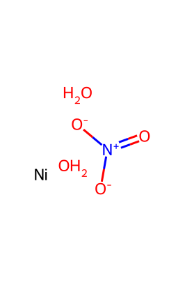 O.O.O=[N+]([O-])[O-].[Ni]